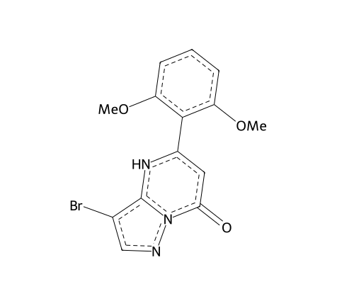 COc1cccc(OC)c1-c1cc(=O)n2ncc(Br)c2[nH]1